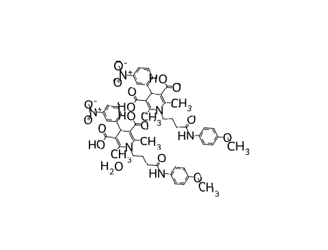 COc1ccc(NC(=O)CCCN2C(C)=C(C(=O)O)C(c3cccc([N+](=O)[O-])c3)C(C(=O)O)=C2C)cc1.COc1ccc(NC(=O)CCCN2C(C)=C(C(=O)O)C(c3cccc([N+](=O)[O-])c3)C(C(=O)O)=C2C)cc1.O